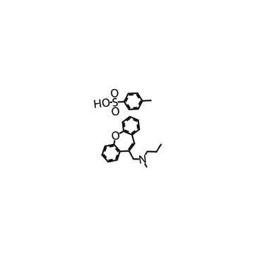 CCCN(C)CC1=Cc2ccccc2Oc2ccccc21.Cc1ccc(S(=O)(=O)O)cc1